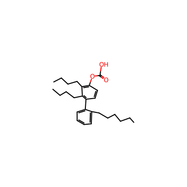 CCCCCCc1ccccc1-c1ccc(OC(=O)O)c(CCCC)c1CCCC